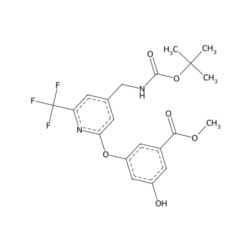 COC(=O)c1cc(O)cc(Oc2cc(CNC(=O)OC(C)(C)C)cc(C(F)(F)F)n2)c1